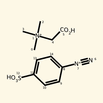 C[N+](C)(C)CC(=O)O.N#[N+]c1ccc(S(=O)(=O)O)cc1